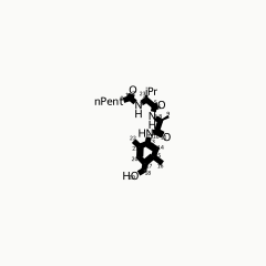 CCCCCC(=O)N[C@H](C(=O)N[C@@H](C)C(=O)Nc1cc(C)c(CO)cc1C)C(C)C